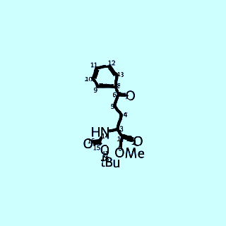 COC(=O)C(CCC(=O)c1ccccc1)NC(=O)OC(C)(C)C